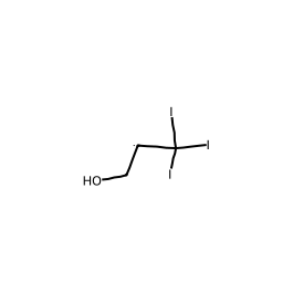 OC[CH]C(I)(I)I